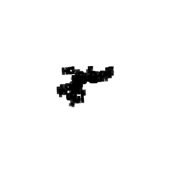 CNC(CC(C)(C)C)C(=O)OC(C)C(=O)N(C)C(CC(C)(C)F)C(=O)OC(Cc1ccc(SC(F)(F)F)cc1)C(=O)N(C)C(CC(C)(C)C)C(=O)OC(C)C(=O)N(C)C(CC(C)(C)F)C(=O)OC(Cc1ccc(SC(F)(F)F)cc1)C(=O)O.Cl